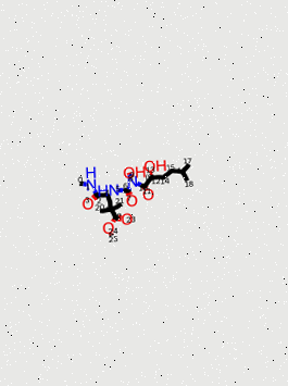 CNC(=O)C(NC(=O)N(O)C(=O)[C@@H](O)CCC(C)C)C(C)(C)C(=O)OC